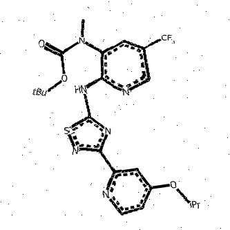 CC(C)Oc1ccnc(-c2nsc(Nc3ncc(C(F)(F)F)cc3N(C)C(=O)OC(C)(C)C)n2)c1